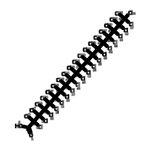 O=C(O)C(Cl)(Cl)C(Cl)(Cl)C(Cl)(Cl)C(Cl)(Cl)C(Cl)(Cl)C(Cl)(Cl)C(Cl)(Cl)C(Cl)(Cl)C(Cl)(Cl)C(Cl)(Cl)C(Cl)(Cl)C(Cl)(Cl)C(Cl)(Cl)C(Cl)(Cl)C(Cl)(Cl)C(Cl)(Cl)C(Cl)(Cl)C(Cl)(Cl)Cl